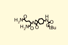 CC(C)(C)OC(=O)NC1CCC2(CC1)CN(C(CCC(N)=O)C(N)=O)C2=O